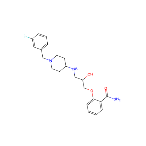 NC(=O)c1ccccc1OCC(O)CNC1CCN(Cc2cccc(F)c2)CC1